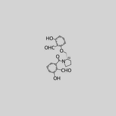 O=Cc1c(O)cccc1OC[C@@H]1CCCN1C(=O)c1cccc(O)c1C=O